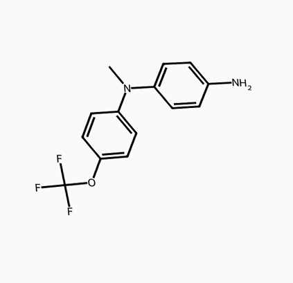 CN(c1ccc(N)cc1)c1ccc(OC(F)(F)F)cc1